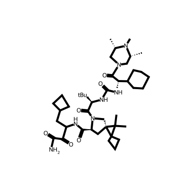 C[C@@H]1CN(C(=O)[C@@H](NC(=O)N[C@@H](C(=O)N2C[C@]3(C[C@H]2C(=O)NC(CC2CCC2)C(=O)C(N)=O)C(C)(C)C32CCC2)C(C)(C)C)C2CCCCC2)C[C@H](C)N1C